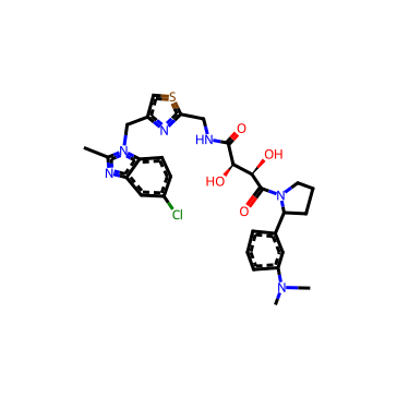 Cc1nc2cc(Cl)ccc2n1Cc1csc(CNC(=O)[C@H](O)[C@@H](O)C(=O)N2CCCC2c2cccc(N(C)C)c2)n1